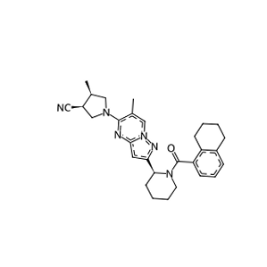 Cc1cn2nc([C@@H]3CCCCN3C(=O)c3cccc4c3CCCC4)cc2nc1N1C[C@@H](C#N)[C@@H](C)C1